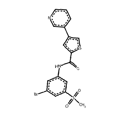 CS(=O)(=O)c1cc(Br)cc(NC(=O)c2cc(-c3cccnc3)cs2)c1